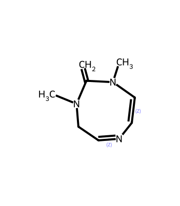 C=C1N(C)/C=C\N=C/CN1C